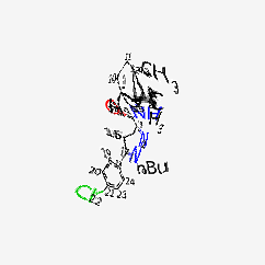 CCCCN1N=C(C(=O)NC2(C)[C@H]3CC[C@]2(C)CC3)CC1c1ccc(Cl)cc1